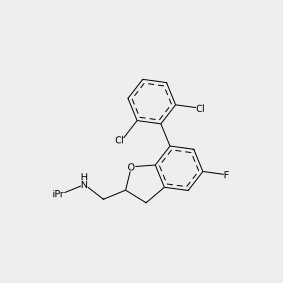 CC(C)NCC1Cc2cc(F)cc(-c3c(Cl)cccc3Cl)c2O1